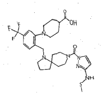 CSNc1ccn(C(=O)N2CCC3(CCCN3Cc3ccc(C(F)(F)F)cc3N3CCC(C(=O)O)CC3)CC2)n1